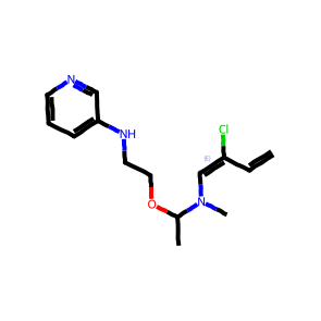 C=C/C(Cl)=C\N(C)C(C)OCCNc1cccnc1